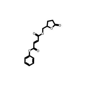 O=C(/C=C/C(=O)Oc1ccccc1)OCC1CCC(=O)O1